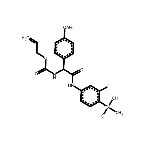 C=CCOC(=O)NC(C(=O)Nc1ccc([Si](C)(C)C)c(F)c1)c1ccc(OC)cc1